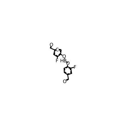 O=Cc1ccc(OBOc2ccc(C=O)cc2F)c(F)c1